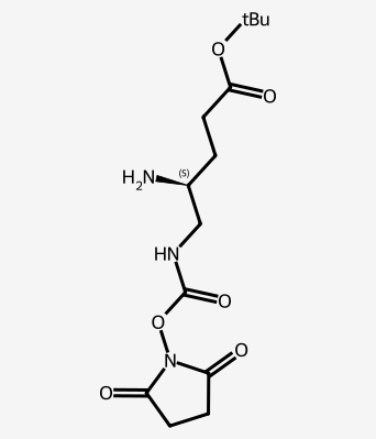 CC(C)(C)OC(=O)CC[C@H](N)CNC(=O)ON1C(=O)CCC1=O